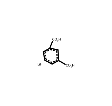 O=C(O)c1cccc(C(=O)O)c1.[LiH]